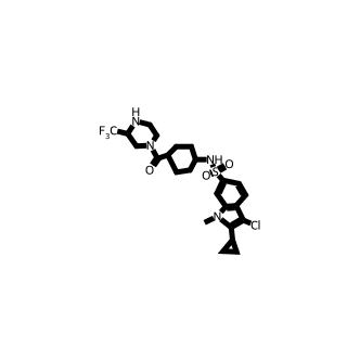 Cn1c(C2CC2)c(Cl)c2ccc(S(=O)(=O)NC3CCC(C(=O)N4CCNC(C(F)(F)F)C4)CC3)cc21